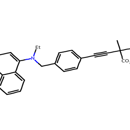 CCN(Cc1ccc(C#CC(C)(C)C(=O)O)cc1)c1cccc2ccccc12